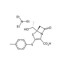 CCN(CC)CC.Cc1ccc(SC2=C(C(=O)O)N3C(=O)C[C@]3([C@@H](C)O)S2)cc1